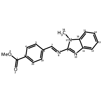 COC(=O)c1ccc(/C=N/c2nc3ccccc3n2C)cc1